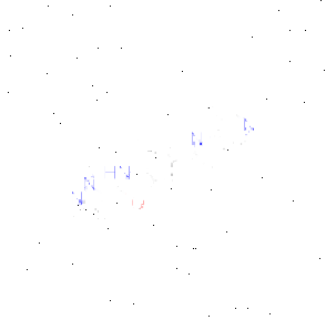 Cc1cc(-c2ccc3cncc(C)c3n2)ccc1NC(=O)c1ccnn1C